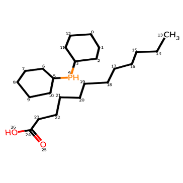 C1CCC(PC2CCCCC2)CC1.CCCCCCCCCCCC(=O)O